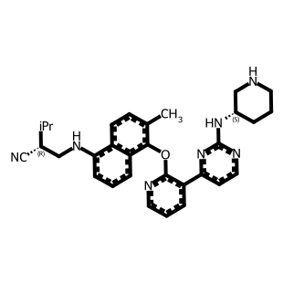 Cc1ccc2c(NC[C@H](C#N)C(C)C)cccc2c1Oc1ncccc1-c1ccnc(N[C@H]2CCCNC2)n1